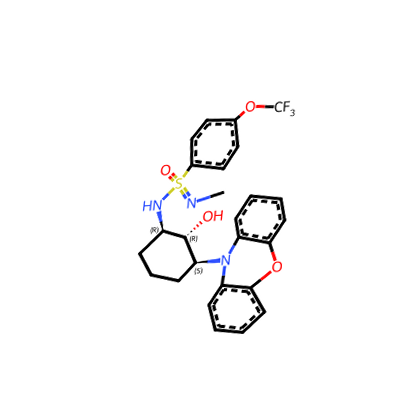 CN=S(=O)(N[C@@H]1CCC[C@H](N2c3ccccc3Oc3ccccc32)[C@H]1O)c1ccc(OC(F)(F)F)cc1